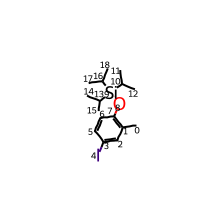 Cc1cc(I)ccc1O[Si](C(C)C)(C(C)C)C(C)C